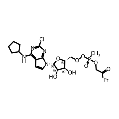 CC(C)C(=O)COP(C)(=O)OOC[C@H]1O[C@@H](n2ccc3c(NC4CCCC4)nc(Cl)nc32)[C@H](O)[C@@H]1O